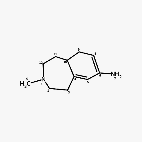 CN1CCC2=CC(N)=CCC2CC1